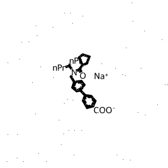 CCCC(CCC)N(Cc1ccc(-c2ccc(C(=O)[O-])cc2)cc1)C(=O)C1CCCC1.[Na+]